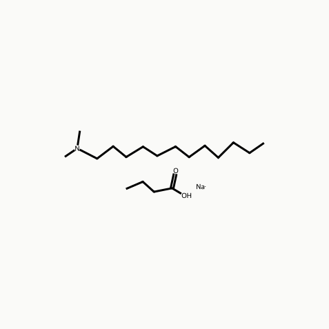 CCCC(=O)O.CCCCCCCCCCCCN(C)C.[Na]